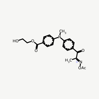 CC(=O)O/N=C(\C)C(=O)c1ccc(N(C)c2ccc(C(=O)OCCO)cc2)cc1